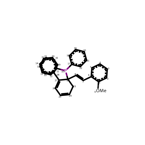 COc1ccccc1C=CC1(P(c2ccccc2)c2ccccc2)CC=CC=C1c1ccccc1